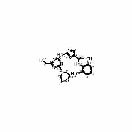 CCc1nc(Nc2ncc(C(=O)Nc3c(C)cccc3C)s2)nc(N2CCOCC2)n1